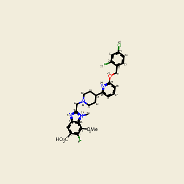 COc1c(F)c(C(=O)O)cc2nc(CN3CCC(c4cccc(OCc5ccc(Cl)cc5F)n4)CC3)n(C)c12